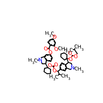 COc1ccc(C(=O)Oc2ccc3c(c2)CN(C)CC3C2(OC(=O)OC(c3ccc4c(c3)CN(C)CC4C3(OC(=O)OCC(C)C)CCCCC3)C(C)C)CCCCC2)c(OC)c1